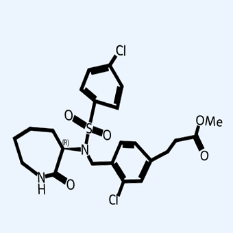 COC(=O)CCc1ccc(CN([C@@H]2CCCCNC2=O)S(=O)(=O)c2ccc(Cl)cc2)c(Cl)c1